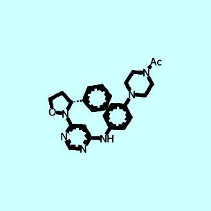 CC(=O)N1CCN(c2ccc(Nc3cc(N4OCC[C@@H]4c4ccccc4)ncn3)cc2)CC1